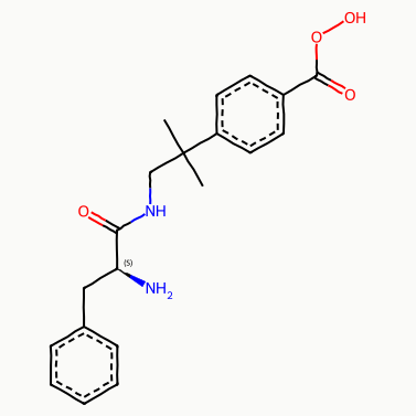 CC(C)(CNC(=O)[C@@H](N)Cc1ccccc1)c1ccc(C(=O)OO)cc1